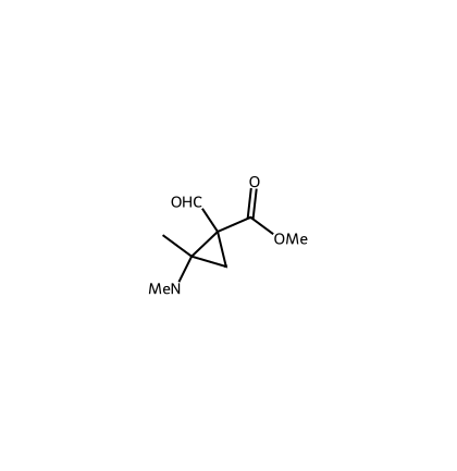 CNC1(C)CC1(C=O)C(=O)OC